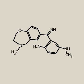 CNc1ccc(N)c(C(=N)c2ccc3c(c2)CN(C)CCO3)c1